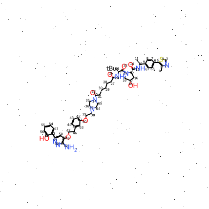 Cc1ncsc1-c1ccc([C@H](C)NC(=O)[C@@H]2C[C@@H](O)CN2C(=O)[C@@H](NC(=O)CCCCCC(=O)N2CCN(CCOc3cccc(CCOc4cc(-c5ccccc5O)nnc4N)c3)CC2)C(C)(C)C)cc1